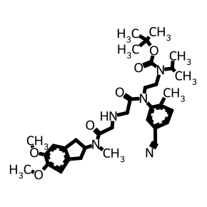 COc1cc2c(cc1OC)CC(N(C)C(=O)CNCC(=O)N(CCN(C(=O)OC(C)(C)C)C(C)C)c1cc(C#N)ccc1C)C2